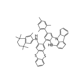 Cc1cc(C)c(-c2cc(-c3cc4c(cc3Nc3cc5c(cc3C)C(C)(C)CCC5(C)C)Sc3ccccc3S4)c3c(c2)-n2c4ccccc4c4cccc(c42)B3)c(C)c1